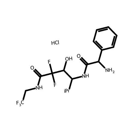 CC(C)C(NC(=O)C(N)c1ccccc1)C(O)C(F)(F)C(=O)NCC(F)(F)F.Cl